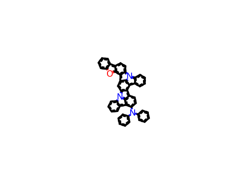 c1ccc(N(c2ccccc2)c2ccc3c4c5c6ccccc6n6c7ccc8c9ccccc9oc8c7c(cc4n4c7ccccc7c2c34)c56)cc1